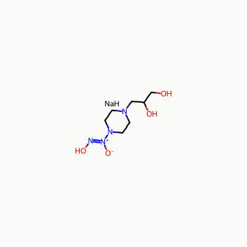 [NaH].[O-][N+](=NO)N1CCN(CC(O)CO)CC1